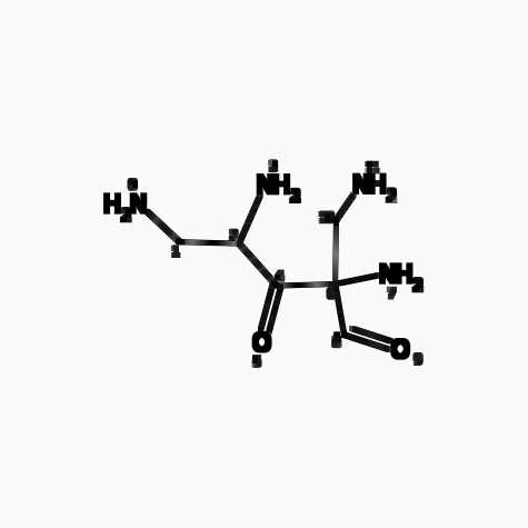 NCC(N)C(=O)C(N)([C]=O)CN